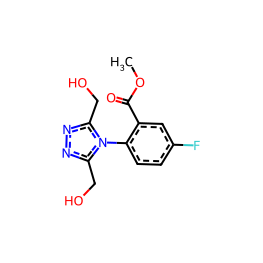 COC(=O)c1cc(F)ccc1-n1c(CO)nnc1CO